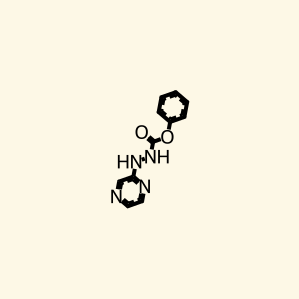 O=C(NNc1cnccn1)Oc1ccccc1